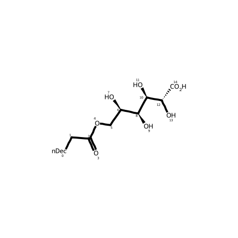 CCCCCCCCCCCC(=O)OC[C@@H](O)[C@H](O)[C@@H](O)[C@@H](O)C(=O)O